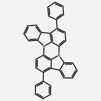 c1ccc(-c2ccc3c4c2c2ccccc2n4c2ccc(-c4ccccc4)c4c5ccccc5n3c42)cc1